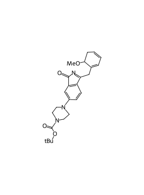 COC1CC=CC=C1CC1=NC(=O)c2cc(N3CCN(C(=O)OC(C)(C)C)CC3)ccc21